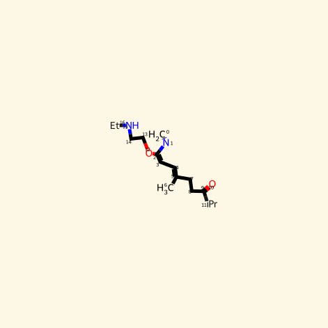 C=N/C(=C\C=C(/C)CCC(=O)C(C)C)OCCNCC